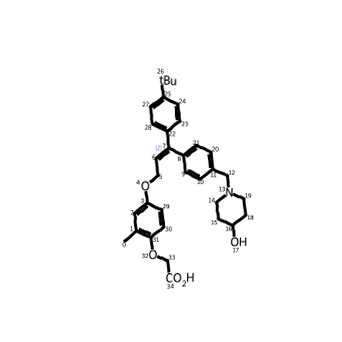 Cc1cc(OC/C=C(\c2ccc(CN3CCC(O)CC3)cc2)c2ccc(C(C)(C)C)cc2)ccc1OCC(=O)O